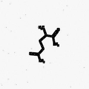 [CH2]C(CCC(N)=O)C(N)=O